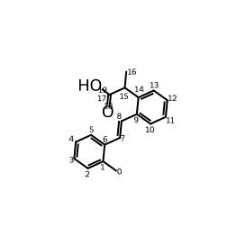 Cc1ccccc1C=Cc1ccccc1C(C)C(=O)O